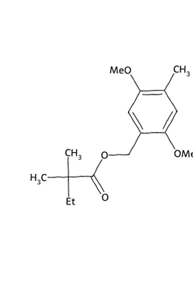 CCC(C)(C)C(=O)OCc1cc(OC)c(C)cc1OC